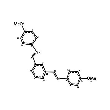 COc1ccc(/N=C/c2cccc(/C=N/c3ccc(OC)cc3)c2)cc1